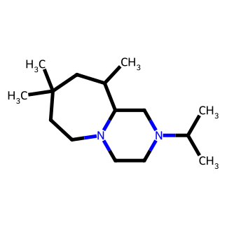 CC1CC(C)(C)CCN2CCN(C(C)C)CC12